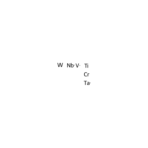 [Cr].[Nb].[Ta].[Ti].[V].[W]